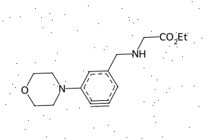 CCOC(=O)CNCc1cc#cc(N2CCOCC2)c1